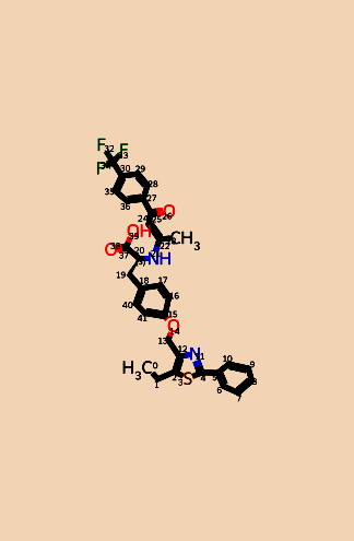 CCc1sc(-c2ccccc2)nc1COc1ccc(C[C@H](NC(C)=CC(=O)c2ccc(C(F)(F)F)cc2)C(=O)O)cc1